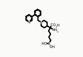 NC(CCCCB(O)O)(C(=O)O)C1CCN(Cc2ccccc2-c2cccnc2)CC1